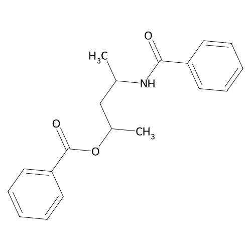 CC(CC(C)OC(=O)c1ccccc1)NC(=O)c1ccccc1